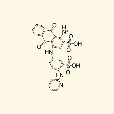 Nc1c(S(=O)(=O)O)cc(Nc2ccc(Nc3ccccn3)c(S(=O)(=O)O)c2)c2c1C(=O)c1ccccc1C2=O